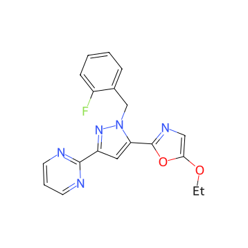 CCOc1cnc(-c2cc(-c3ncccn3)nn2Cc2ccccc2F)o1